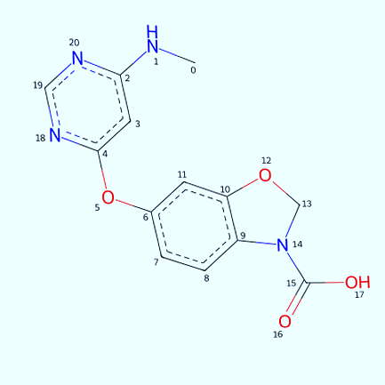 CNc1cc(Oc2ccc3c(c2)OCN3C(=O)O)ncn1